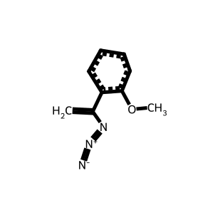 C=C(N=[N+]=[N-])c1ccccc1OC